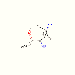 COC(=O)C(N)C(C)(C)N